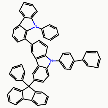 c1ccc(-c2ccc(-n3c4ccc(-c5cccc6c7ccccc7n(-c7ccccc7)c56)cc4c4cc(C5(c6ccccc6)c6ccccc6-c6ccccc65)ccc43)cc2)cc1